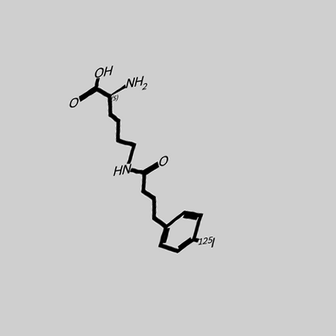 N[C@@H](CCCCNC(=O)CCCc1ccc([125I])cc1)C(=O)O